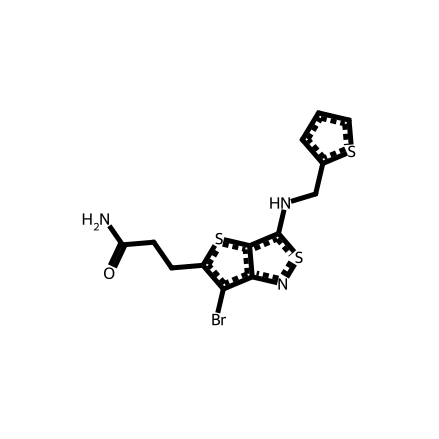 NC(=O)CCc1sc2c(NCc3cccs3)snc2c1Br